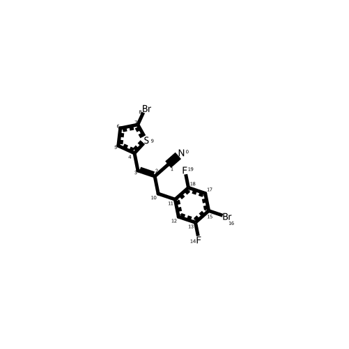 N#CC(=Cc1ccc(Br)s1)Cc1cc(F)c(Br)cc1F